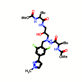 COC(=O)NC(C(=O)NCC(O)CN(Cc1c(F)cc(-c2ccn(C)n2)cc1F)NC(=O)C(NC(=O)OC)C(C)(C)C)C(C)(C)C